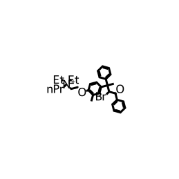 CCC[N+](CC)(CC)CCOc1ccc(C(C)(c2ccccc2)C(Br)C(=O)c2ccccc2)cc1C